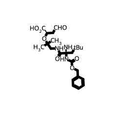 CC(C)(C)C[C@](N)(NC(=O)OCc1ccccc1)C(=O)NCC(C)(C)O[C@@H](CC=O)C(=O)O